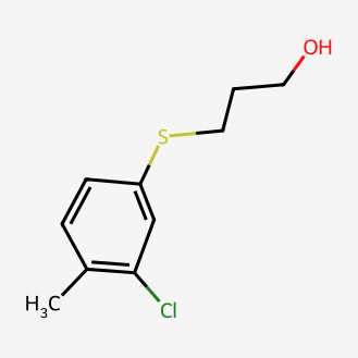 Cc1ccc(SCCCO)cc1Cl